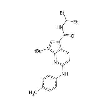 CCC(CC)NC(=O)c1cn(C(C)(C)C)c2nc(Nc3ccc(C)cc3)ccc12